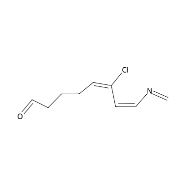 C=N/C=C\C(Cl)=C/CCCC=O